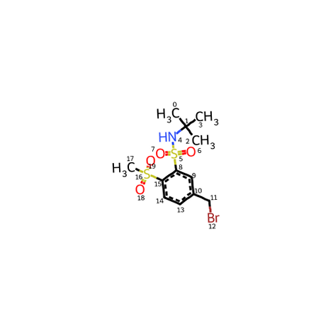 CC(C)(C)NS(=O)(=O)c1cc(CBr)ccc1S(C)(=O)=O